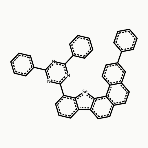 c1ccc(-c2ccc3c(ccc4ccc5c6cccc(-c7nc(-c8ccccc8)nc(-c8ccccc8)n7)c6[se]c5c43)c2)cc1